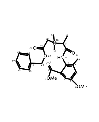 COC(=O)c1cc(OC)cc(C)c1NC(=O)C(C)[N+](C)(C)CC(=O)OCc1ccccc1